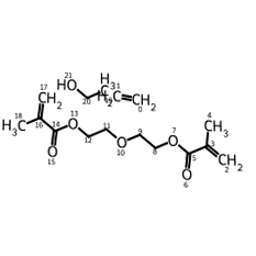 C=C.C=C(C)C(=O)OCCOCCOC(=O)C(=C)C.CCO